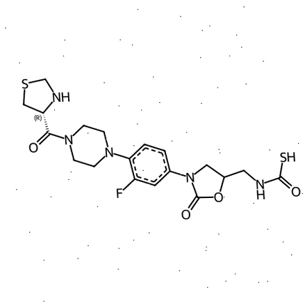 O=C(S)NCC1CN(c2ccc(N3CCN(C(=O)[C@@H]4CSCN4)CC3)c(F)c2)C(=O)O1